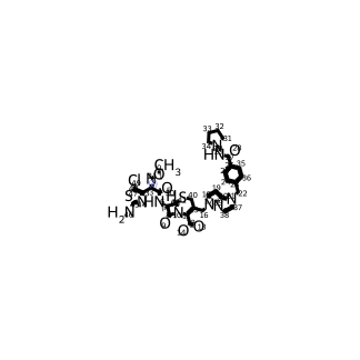 CO/N=C(\C(=O)N[C@@H]1C(=O)N2C(C(=O)[O-])=C(C[n+]3ccc4n(Cc5ccc(C(=O)NN6CCCC6)cc5)ccn43)CS[C@H]12)c1nc(N)sc1Cl